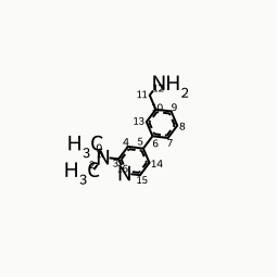 CN(C)c1cc(-c2cccc(CN)c2)ccn1